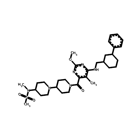 COc1nc(NCC2CCCC(c3ccccc3)C2)c(C)c(C(=O)N2CCC(N3CCC(N(C)S(C)(=O)=O)CC3)CC2)n1